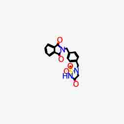 O=C1CN(Cc2ccc(CN3C(=O)c4ccccc4C3=O)cc2)S(=O)(=O)N1